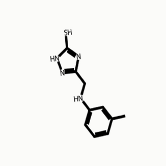 Cc1cccc(NCc2n[nH]c(S)n2)c1